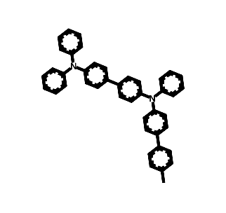 Cc1ccc(-c2ccc(N(c3ccccc3)c3ccc(-c4ccc(N(c5ccccc5)c5ccccc5)cc4)cc3)cc2)cc1